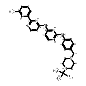 Cc1cccc(-c2nccc(Nc3ccnc(Nc4ccc(CN5CCN(C(C)(C)C)CC5)cc4)n3)n2)n1